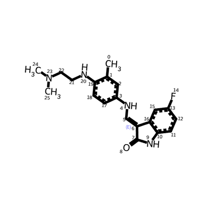 Cc1cc(N/C=C2/C(=O)Nc3ccc(F)cc32)ccc1NCCN(C)C